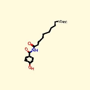 CCCCCCCCCCCCCCCCCCC(=O)NC(=O)c1ccc(O)cc1